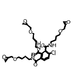 O=C(NCCCCOCC1CO1)c1ccc(Cl)c(C(=O)NCCCCOCC2CO2)c1C(=O)NCCCCOCC1CO1